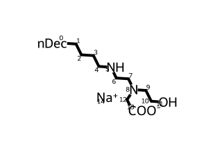 CCCCCCCCCCCCCCNCCN(CCO)CC(=O)[O-].[Na+]